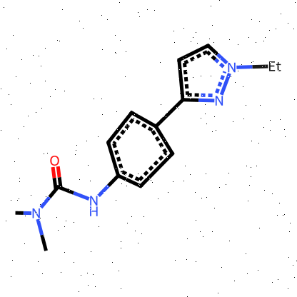 CCn1ccc(-c2ccc(NC(=O)N(C)C)cc2)n1